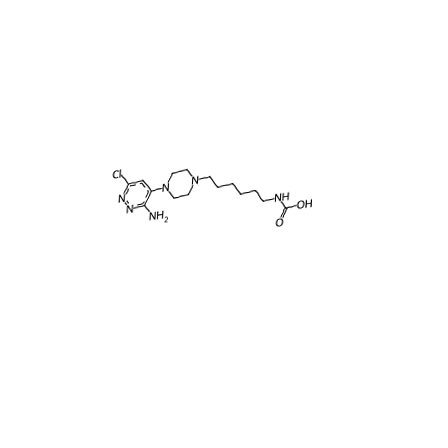 Nc1nnc(Cl)cc1N1CCN(CCCCCCNC(=O)O)CC1